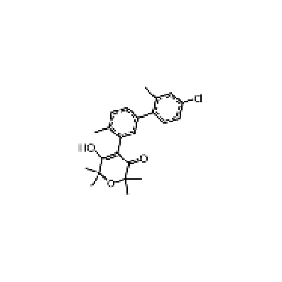 Cc1ccc(-c2ccc(Cl)cc2C)cc1C1=C(O)C(C)(C)OC(C)(C)C1=O